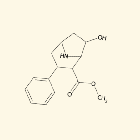 COC(=O)C1C(c2ccccc2)CC2CC(O)C1N2